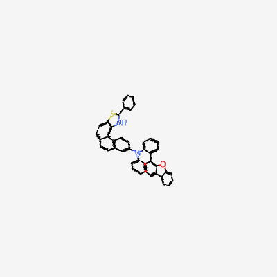 c1ccc(C2Nc3c(ccc4ccc5cc(N(c6ccccc6)c6ccccc6-c6cccc7c6oc6ccccc67)ccc5c34)S2)cc1